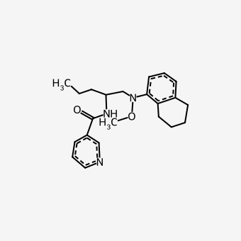 CCCC(CN(OC)c1cccc2c1CCCC2)NC(=O)c1cccnc1